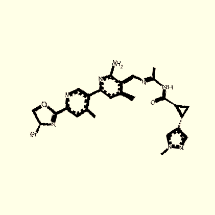 C=c1cc(-c2cnc(C3=N[C@@H](C(C)C)CO3)cc2C)nc(N)/c1=C/N=C(\C)NC(=O)[C@H]1C[C@@H]1c1cnn(C)c1